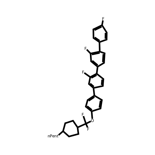 CCCCCC1CCC(C(F)(F)Oc2ccc(-c3ccc(-c4ccc(-c5ccc(F)cc5)c(F)c4)c(F)c3)cc2)CC1